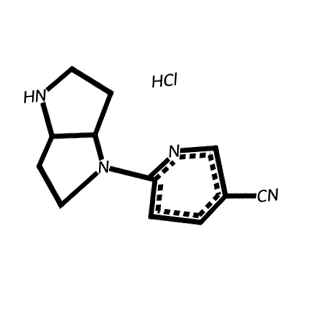 Cl.N#Cc1ccc(N2CCC3NCCC32)nc1